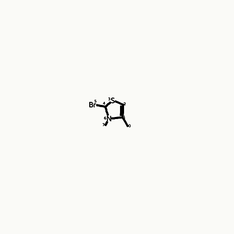 CC1=CSC(Br)N1C